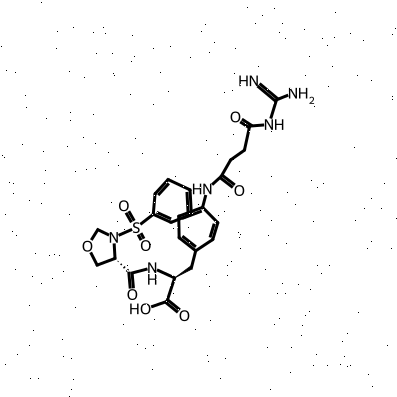 N=C(N)NC(=O)CCC(=O)Nc1ccc(C[C@H](NC(=O)[C@@H]2COCN2S(=O)(=O)c2ccccc2)C(=O)O)cc1